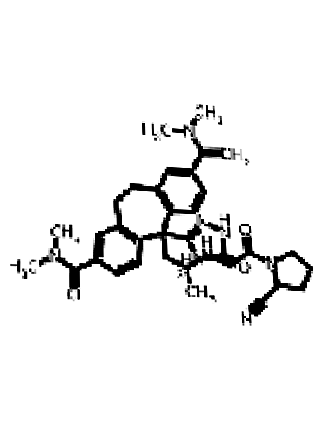 C=C(c1ccc2c(c1)CCc1cc(C(=O)N(C)C)ccc1C2(C[C@H](C)NCC(=O)N1CCCC1C#N)c1n[nH]c(=O)[nH]1)N(C)C